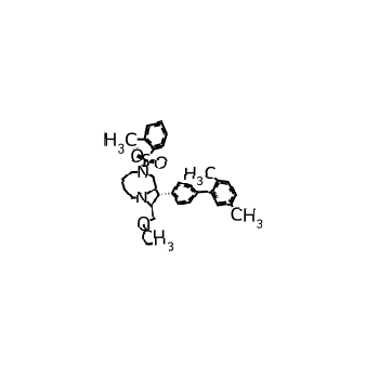 COC[C@@H]1[C@@H](c2ccc(-c3cc(C)ccc3C)cc2)C2CN(S(=O)(=O)c3ccccc3C)CCCCN21